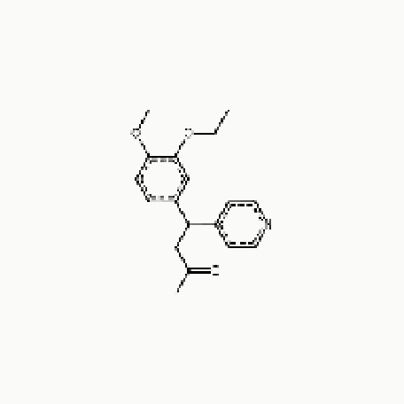 CCOc1cc(C(CC(C)=O)c2ccncc2)ccc1OC